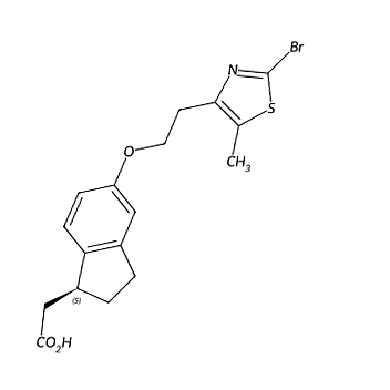 Cc1sc(Br)nc1CCOc1ccc2c(c1)CC[C@H]2CC(=O)O